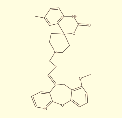 COc1cccc2c1CC(=CCCN1CCC3(CC1)OC(=O)Nc1ccc(C)cc13)c1cccnc1O2